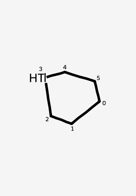 C1C[CH2][TlH][CH2]C1